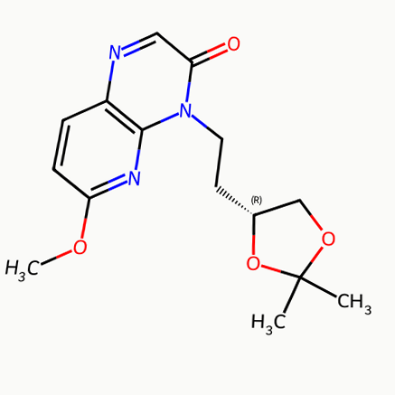 COc1ccc2ncc(=O)n(CC[C@@H]3COC(C)(C)O3)c2n1